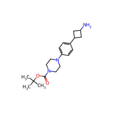 CC(C)(C)OC(=O)N1CCN(c2ccc(C3CC(N)C3)cc2)CC1